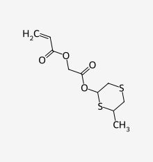 C=CC(=O)OCC(=O)OC1CSCC(C)S1